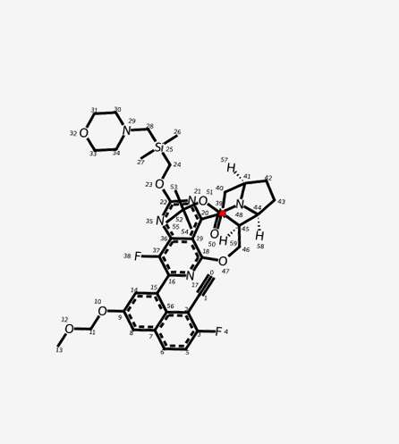 C#Cc1c(F)ccc2cc(OCOC)cc(-c3nc4c5c(nc(OC[Si](C)(C)CN6CCOCC6)nc5c3F)N3C[C@H]5CC[C@@H]([C@H]3CO4)N5C(=O)OC(C)(C)C)c12